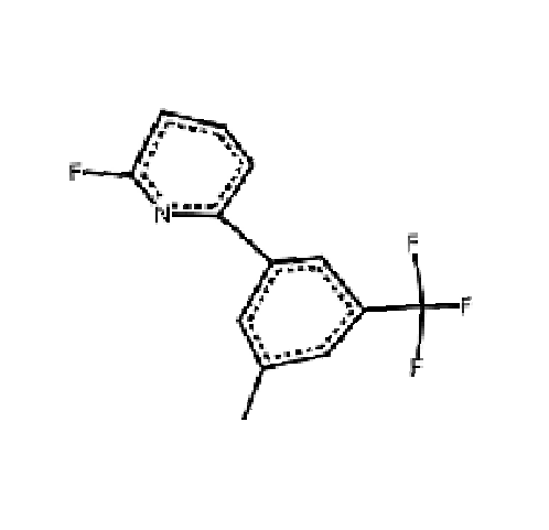 Cc1cc(-c2cccc(F)n2)cc(C(F)(F)F)c1